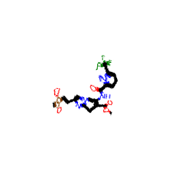 COC(=O)c1cc2nc(CCS(C)(=O)=O)cn2cc1NC(=O)c1cccc(C(F)(F)F)n1